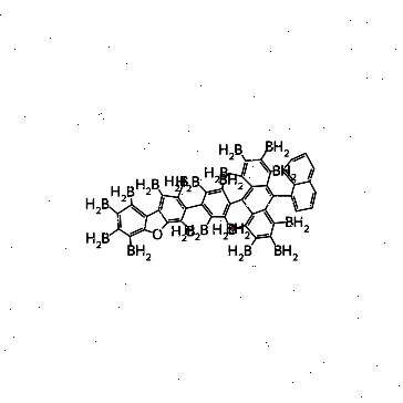 Bc1c(B)c(-c2c3c(B)c(B)c(B)c(B)c3c(-c3cccc4ccccc34)c3c(B)c(B)c(B)c(B)c23)c(B)c(B)c1-c1c(B)c(B)c2c(oc3c(B)c(B)c(B)c(B)c32)c1B